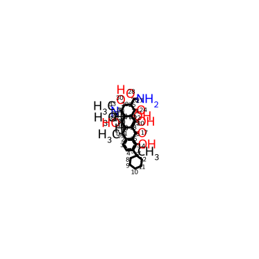 C[C@H]1c2ccc(C3(C)CCCCC3)c(O)c2C(=O)C2=C(O)[C@]3(O)C(=O)C(C(N)=O)C(O)[C@@H](N(C)C)[C@@H]3[C@@H](O)[C@@H]21